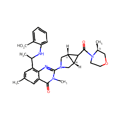 Cc1cc(C(C)Nc2ccccc2C(=O)O)c2nc(N3C[C@@H]4C(C(=O)N5CCOC[C@@H]5C)[C@@H]4C3)n(C)c(=O)c2c1